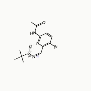 CC(=O)Nc1ccc(Br)c(/C=N\[S@@+]([O-])C(C)(C)C)n1